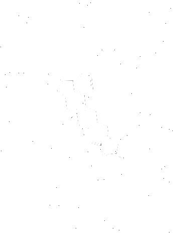 CN1CC(CN2CC(=O)NC2=O)C[C@@H]2c3cccc4c3c(cn4C)C[C@H]21